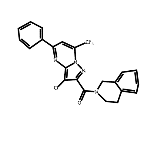 O=C(c1nn2c(C(F)(F)F)cc(-c3ccccc3)nc2c1Cl)N1CCc2ccccc2C1